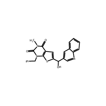 CC(C)Cn1c(=O)n(C)c(=O)c2cc(C(O)c3cnc4ccccc4c3)sc21